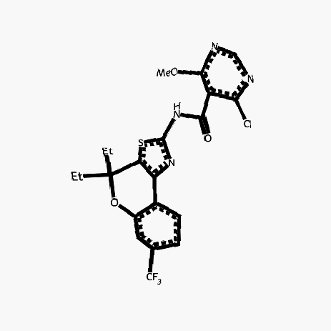 CCC1(CC)Oc2cc(C(F)(F)F)ccc2-c2nc(NC(=O)c3c(Cl)ncnc3OC)sc21